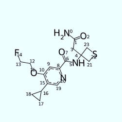 NC(=O)CC1(NC(=O)c2cc(OCCF)c(C3CC3)cn2)CSC1